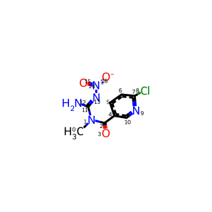 CN(C(=O)c1ccc(Cl)nc1)C(N)=N[N+](=O)[O-]